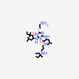 CCC(C)(CC)NCCCNC(=O)C(CC(C)C)Nc1nc(NC(CC(C)C)C(=O)C(C)(C)CC)nc(SCCN)n1